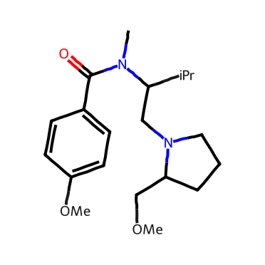 COCC1CCCN1CC(C(C)C)N(C)C(=O)c1ccc(OC)cc1